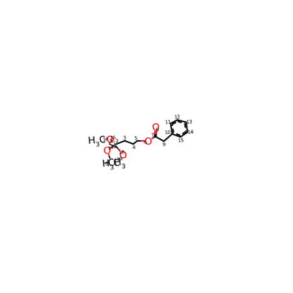 CO[Si](CCCOC(=O)Cc1ccccc1)(OC)OC